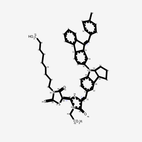 Cc1ccc(/C=C2\c3ccccc3-c3ccc(N4c5ccc(/C=c6\s/c(=C7/SC(=S)N(CCCCCCCCC(=O)O)C7=O)n(CC(=O)O)c6=O)cc5C5CCCC54)cc32)cc1